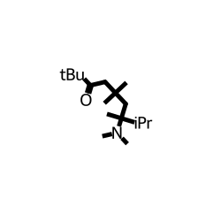 CC(C)C(C)(CC(C)(C)CC(=O)C(C)(C)C)N(C)C